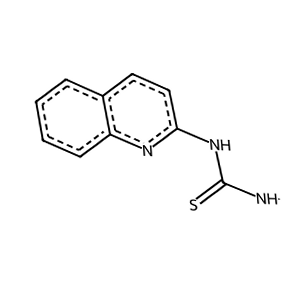 [NH]C(=S)Nc1ccc2ccccc2n1